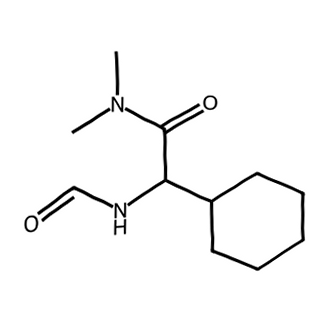 CN(C)C(=O)C(NC=O)C1CCCCC1